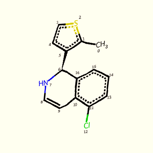 Cc1sccc1[C@@H]1NC=Cc2c(Cl)cccc21